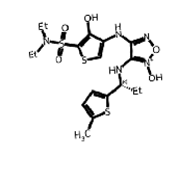 CC[C@@H](Nc1c(Nc2csc(S(=O)(=O)N(CC)CC)c2O)no[n+]1O)c1ccc(C)s1